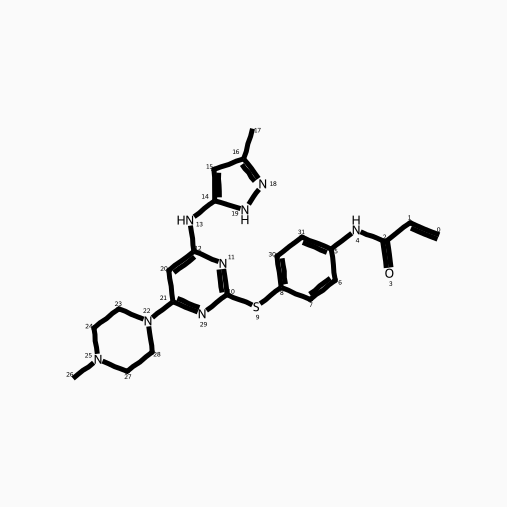 C=CC(=O)Nc1ccc(Sc2nc(Nc3cc(C)n[nH]3)cc(N3CCN(C)CC3)n2)cc1